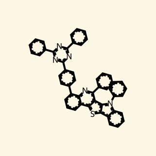 c1ccc(-c2nc(-c3ccccc3)nc(-c3ccc(-c4cccc5c4nc(-c4ccccc4)c4c5sc5c6ccccc6n(-c6ccccc6)c54)cc3)n2)cc1